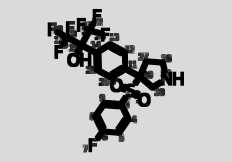 O=S(=O)(c1ccc(F)cc1)C1(c2ccc(C(O)(C(F)(F)F)C(F)(F)F)cc2)CCNC1